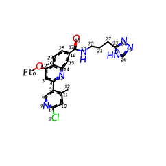 CCOc1cc(-c2cnc(Cl)cc2C)nc2cc(C(=O)NCCCc3nnc[nH]3)ccc12